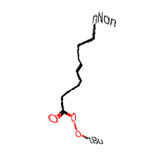 CCCCCCCCCCCCCCCC(=O)OOC(C)(C)C